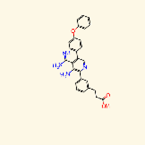 N=C(N)c1c(-c2ccc(Oc3ccccc3)cc2)cnc(-c2cccc(CCC(=O)O)c2)c1N